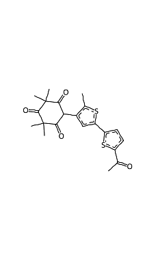 CC(=O)c1ccc(-c2cc(C3C(=O)C(C)(C)C(=O)C(C)(C)C3=O)c(C)s2)s1